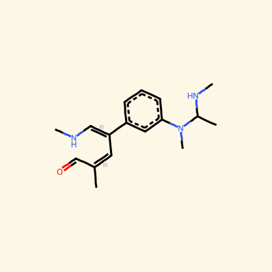 CN/C=C(\C=C(\C)C=O)c1cccc(N(C)C(C)NC)c1